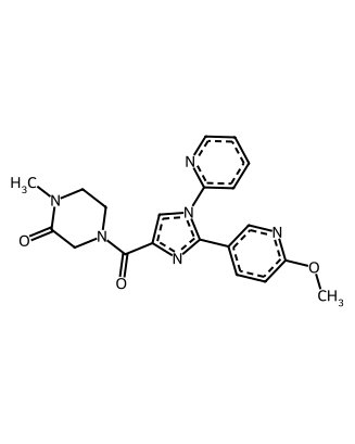 COc1ccc(-c2nc(C(=O)N3CCN(C)C(=O)C3)cn2-c2ccccn2)cn1